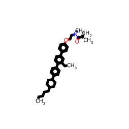 C=C(C)C(=O)N(C)CCOc1ccc(-c2ccc(-c3ccc(C4CCC(CCCCC)CC4)cc3)c(CC)c2)cc1